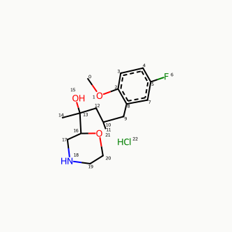 COc1ccc(F)cc1CC(C)CC(C)(O)C1CNCCO1.Cl